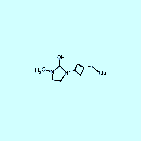 CN1CCN([C@H]2C[C@@H](CC(C)(C)C)C2)C1O